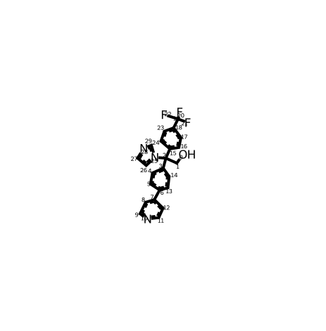 OCC(c1ccc(-c2ccncc2)cc1)(c1ccc(C(F)(F)F)cc1)n1ccnc1